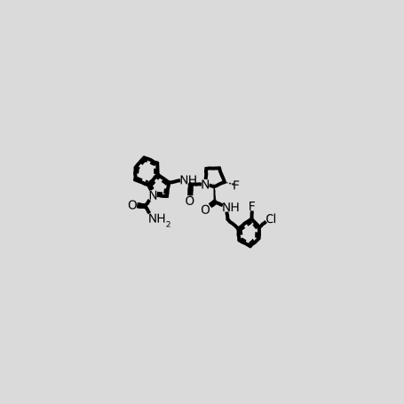 NC(=O)n1cc(NC(=O)N2CC[C@H](F)[C@H]2C(=O)NCc2cccc(Cl)c2F)c2ccccc21